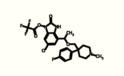 CC(OCC1(c2ccc(F)cc2)CCN(C)CC1)c1cc(Cl)cc2c1[nH]c(=O)n2OC(=O)C(F)(F)F